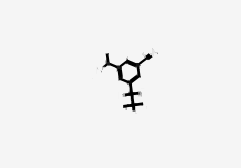 CC(N)c1cc(C#N)cc(C(F)(F)C(C)(C)O)c1